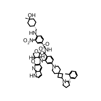 Cc1ccccc1[C@@H]1CCCN1C1CC2(CCN(c3ccc(C(=O)NS(=O)(=O)c4ccc(NC[C@H]5CC[C@@](C)(O)CC5)c([N+](=O)[O-])c4)c(N4c5cc6cc[nH]c6nc5O[C@H]5COC[C@@H]54)c3)CC2)C1